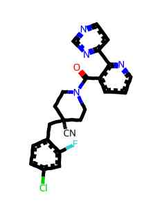 N#CC1(Cc2ccc(Cl)cc2F)CCN(C(=O)c2cccnc2-c2ccncn2)CC1